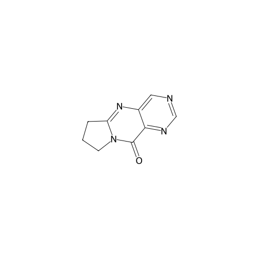 O=c1c2ncncc2nc2n1CCC2